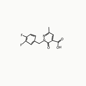 Cc1cc(C(=O)O)c(=O)n(Cc2ccc(F)c(F)c2)n1